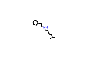 CC(C)/C=C/CCNCCc1ccccc1